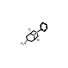 CN1[C@@H]2C[C@@H](N)C[C@H]1CN(c1ccccc1)C2